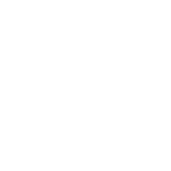 COC(=O)c1cc(OCc2ccccc2)cc(OC2CCCC2)c1